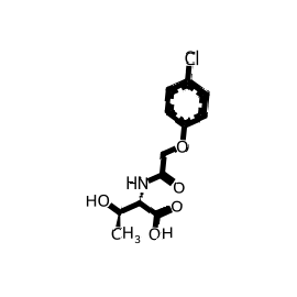 C[C@@H](O)[C@H](NC(=O)COc1ccc(Cl)cc1)C(=O)O